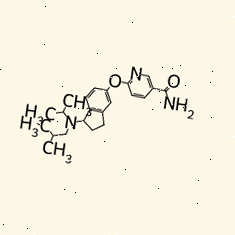 CC(C)CN(C(C)C)C1CCc2cc(Oc3ccc(C(N)=O)cn3)ccc21